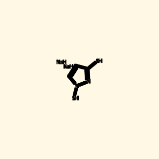 Sc1ccn(S)n1.[NaH].[NaH]